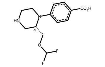 O=C(O)c1ccc(N2CCNC[C@H]2COC(F)F)cc1